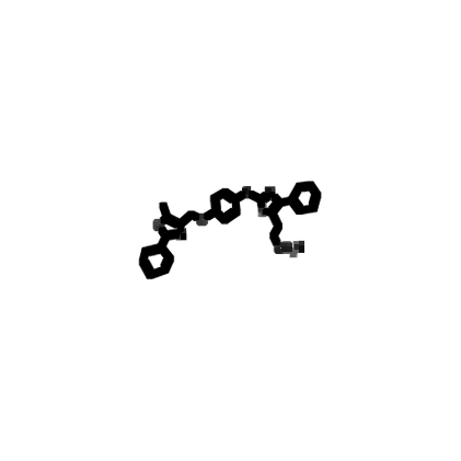 Cc1oc(-c2ccccc2)nc1COc1ccc(Sc2nc(-c3ccccc3)c(CCC(=O)O)s2)cc1